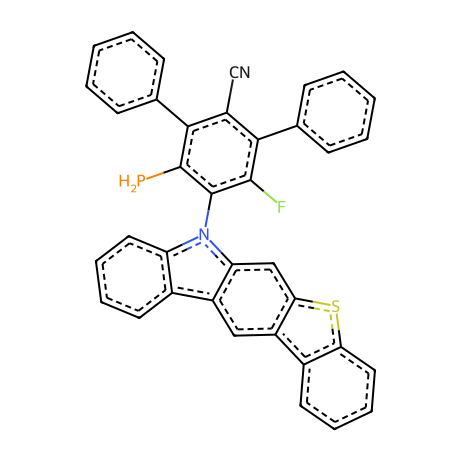 N#Cc1c(-c2ccccc2)c(F)c(-n2c3ccccc3c3cc4c(cc32)sc2ccccc24)c(P)c1-c1ccccc1